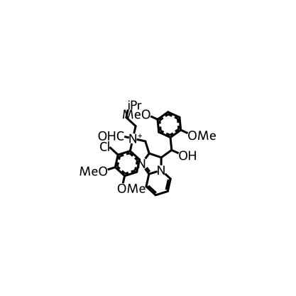 COc1ccc(OC)c(C(O)C2C(C[N+](C=O)(CCC(C)C)c3ccc(OC)c(OC)c3Cl)N=C3C=CC=CN32)c1